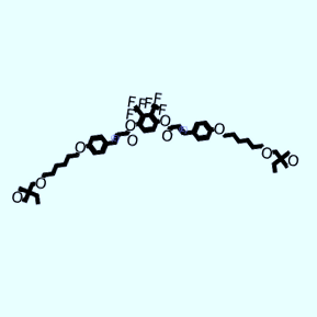 CCC1(COCCCCCCOc2ccc(/C=C/C(=O)Oc3ccc(OC(=O)/C=C/c4ccc(OCCCCCCOCC5(CC)COC5)cc4)c(C(F)(F)F)c3C(F)(F)F)cc2)COC1